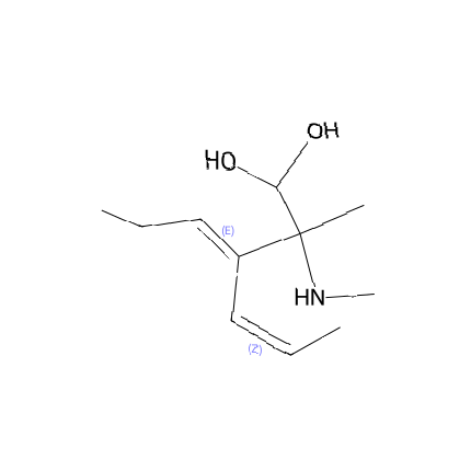 C/C=C\C(=C/CC)C(C)(NC)C(O)O